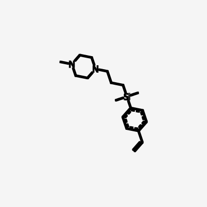 C=Cc1ccc([Si](C)(C)CCCN2CCN(C)CC2)cc1